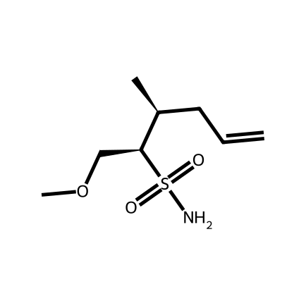 C=CC[C@H](C)[C@H](COC)S(N)(=O)=O